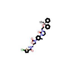 Cc1cc(N2C[C@H](CNC(=O)c3ccc(Cl)s3)OC2=O)ccc1N1CCCN(CCO[Si](c2ccccc2)(c2ccccc2)C(C)(C)C)C1=O